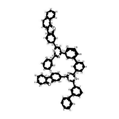 c1ccc(-c2cccc(-c3nc(-c4cccc(-c5cccc(-c6cc(-c7ccc8c(c7)oc7c9ccccc9ccc87)nc(-c7ccccc7)n6)c5)c4)nc(-c4ccc5c(c4)oc4ccccc45)n3)c2)cc1